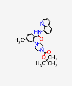 Cc1ccc(C(=O)Nc2cccc3cccnc23)c(N2CCN(C(=O)OC(C)(C)C)CC2)c1